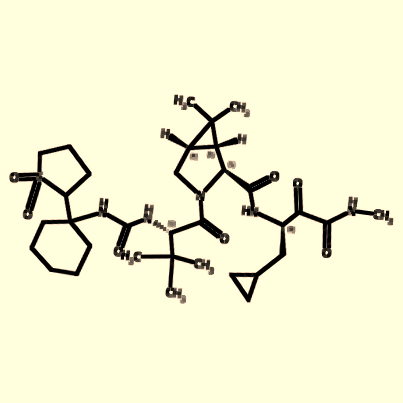 CNC(=O)C(=O)[C@@H](CC1CC1)NC(=O)[C@@H]1[C@@H]2[C@H](CN1C(=O)[C@@H](NC(=O)NC1(C3CCCS3(=O)=O)CCCCC1)C(C)(C)C)C2(C)C